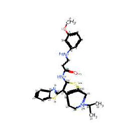 COc1cccc(NCCC(=O)Nc2sc3c(c2-c2nc4cc#ccc4s2)CCN(C(C)C)C3)c1